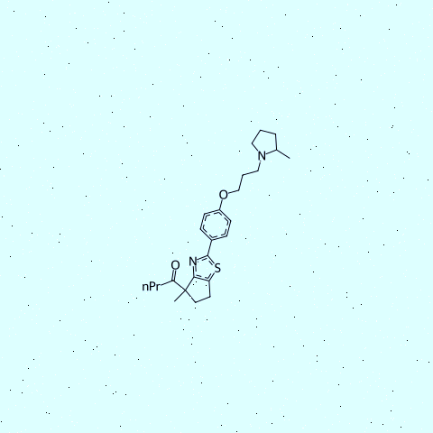 CCCC(=O)C1(C)CCc2sc(-c3ccc(OCCCN4CCCC4C)cc3)nc21